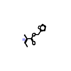 C/C=C(/C)C(=O)OCc1ccco1